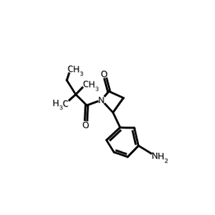 CCC(C)(C)C(=O)N1C(=O)CC1c1cccc(N)c1